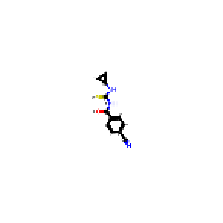 N#Cc1ccc(C(=O)NC(=S)NC2CC2)cc1